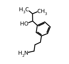 CC(C)C(O)c1cccc(CCCN)c1